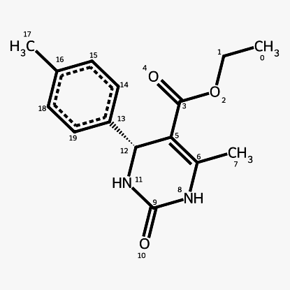 CCOC(=O)C1=C(C)NC(=O)N[C@@H]1c1ccc(C)cc1